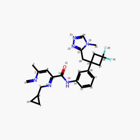 C=N/C(C)=C\C(=N/CC1CC1)C(=O)Nc1cccc(C2(Cc3nncn3C)CC(F)(F)C2)c1